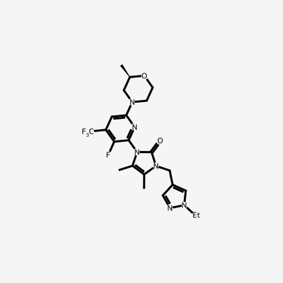 CCn1cc(Cn2c(C)c(C)n(-c3nc(N4CCO[C@H](C)C4)cc(C(F)(F)F)c3F)c2=O)cn1